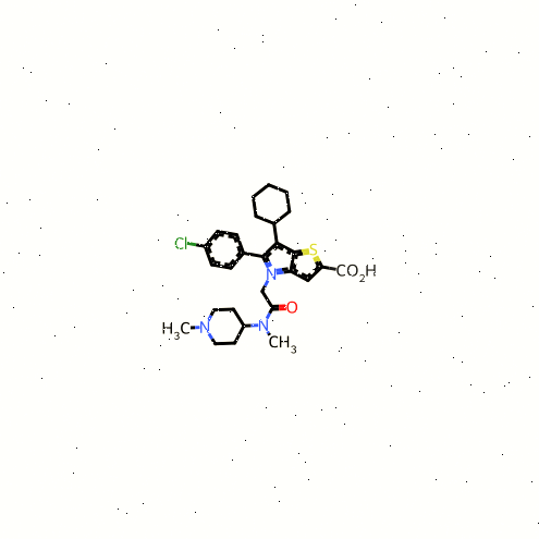 CN1CCC(N(C)C(=O)Cn2c(-c3ccc(Cl)cc3)c(C3CCCCC3)c3sc(C(=O)O)cc32)CC1